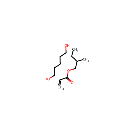 C=CC(=O)OCC(C)CC.OCCCCCO